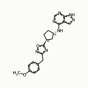 COc1ccc(Cc2noc([C@H]3CC[C@H](Nc4ncnc5[nH]ncc45)C3)n2)cc1